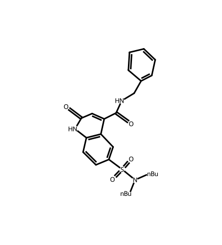 CCCCN(CCCC)S(=O)(=O)c1ccc2[nH]c(=O)cc(C(=O)NCc3ccccc3)c2c1